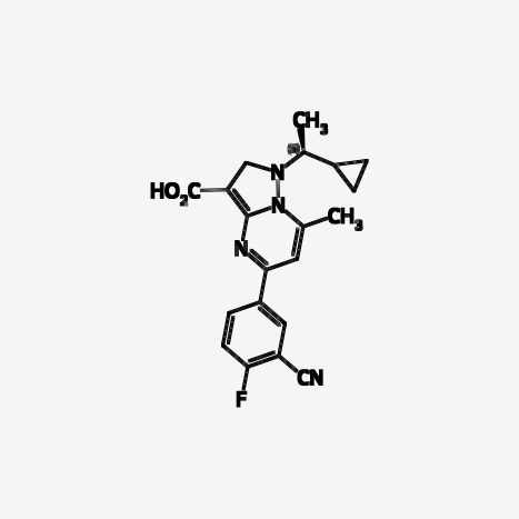 CC1=CC(c2ccc(F)c(C#N)c2)=NC2=C(C(=O)O)CN([C@@H](C)C3CC3)N12